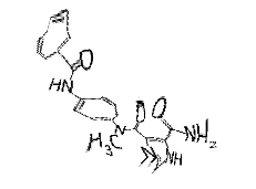 CN(C(=O)c1nc[nH]c1C(N)=O)c1ccc(NC(=O)c2ccccc2)cc1